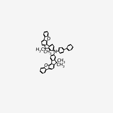 CC1(C)c2cc(N(c3ccc(-c4ccccc4)cc3)c3ccc4c(c3)C(C)(C)c3ccc5c(oc6ccccc65)c3-4)ccc2-c2c1ccc1c2oc2ccccc21